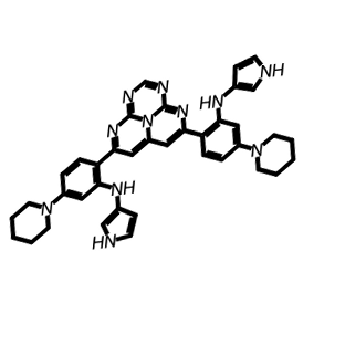 C1=NC2=NC(c3ccc(N4CCCCC4)cc3Nc3cc[nH]c3)=CC3=CC(c4ccc(N5CCCCC5)cc4Nc4cc[nH]c4)=NC(=N1)N32